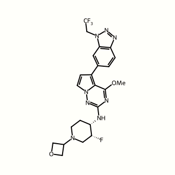 COc1nc(N[C@H]2CCN(C3COC3)C[C@H]2F)nn2ccc(-c3ccc4nnn(CC(F)(F)F)c4c3)c12